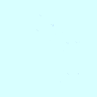 O=CN(O)CCC(=O)N1NCC[C@H]1C(=O)Nc1ncc(F)cn1